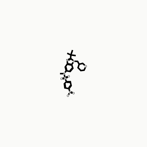 CN(c1ccc2c(c1)nc(C(C)(C)C)n2CC1CCCOC1)S(=O)(=O)c1ccc([N+](=O)[O-])cc1